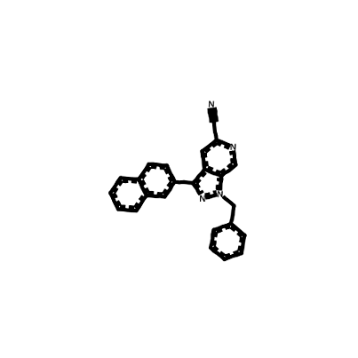 N#Cc1cc2c(-c3ccc4ccccc4c3)nn(Cc3ccccc3)c2cn1